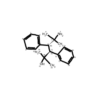 CC(C)(N)[C@@H](c1ccccc1)[C@@H](c1ccccc1)C(C)(C)O